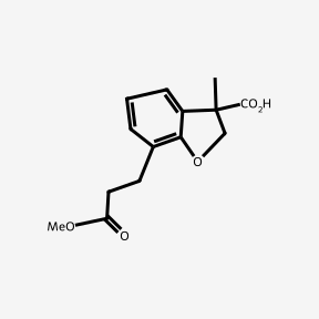 COC(=O)CCc1cccc2c1OCC2(C)C(=O)O